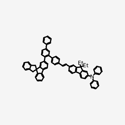 CCC1(CC)c2cc(/C=C/c3ccc(-c4cc(-c5ccccc5)ccc4-c4ccc5c(c4)C4(Cc6ccccc6C4)c4ccccc4-5)cc3)ccc2-c2ccc(N(c3ccccc3)c3ccccc3)cc21